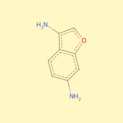 Nc1ccc2c(N)coc2c1